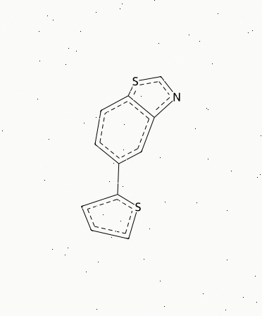 c1csc(-c2ccc3scnc3c2)c1